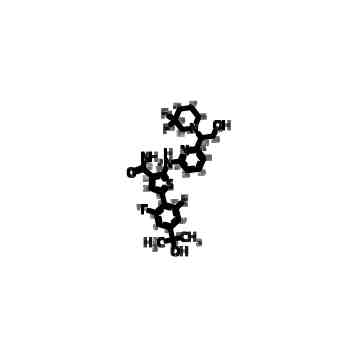 CC(C)(O)c1cc(F)c(-c2cc(C(N)=O)c(Nc3cccc(C(CO)N4CCCC(F)(F)C4)n3)s2)c(F)c1